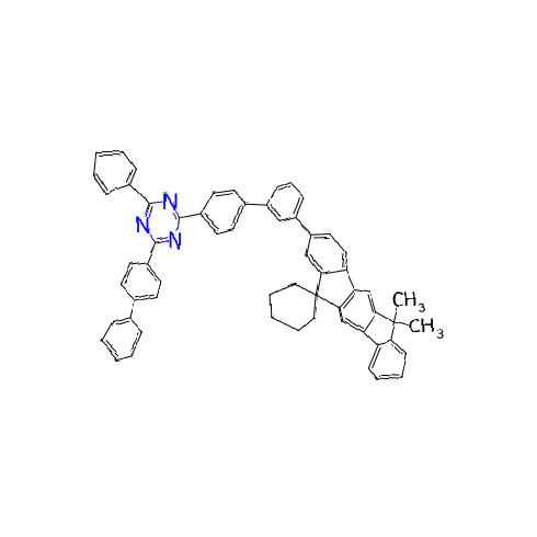 CC1(C)c2ccccc2-c2cc3c(cc21)-c1ccc(-c2cccc(-c4ccc(-c5nc(-c6ccccc6)nc(-c6ccc(-c7ccccc7)cc6)n5)cc4)c2)cc1C31CCCCC1